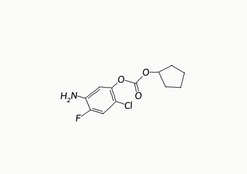 Nc1cc(OC(=O)OC2CCCC2)c(Cl)cc1F